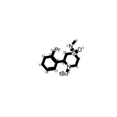 CN=S1(=O)CCN(C(C)(C)C)C(C2=C(C(C)C)CCC=C2)C1